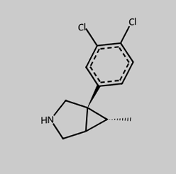 C[C@@H]1C2CNC[C@@]21c1ccc(Cl)c(Cl)c1